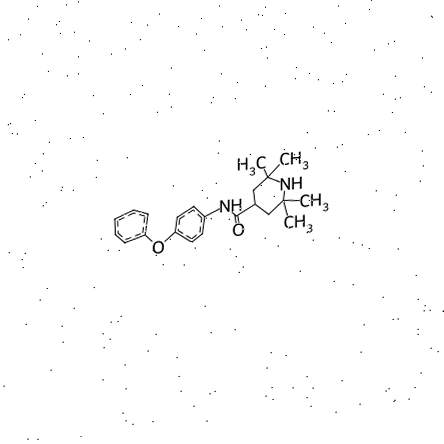 CC1(C)CC(C(=O)Nc2ccc(Oc3ccccc3)cc2)CC(C)(C)N1